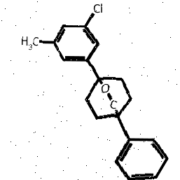 Cc1cc(Cl)cc(C23CCC(c4ccccc4)(CC2)CO3)c1